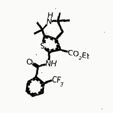 CCOC(=O)c1c(NC(=O)c2ccccc2C(F)(F)F)sc2c1CC(C)(C)NC2(C)C